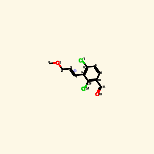 COC/C=C/c1c(Cl)ccc(C=O)c1Cl